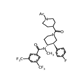 CC(=O)N1CCC(C(=O)N2CC[C@@H](N(C)C(=O)c3cc(C(F)(F)F)cc(C(F)(F)F)c3)[C@H](c3ccc(F)cc3)C2)CC1